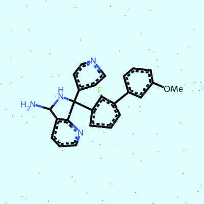 COc1cccc(-c2cccc(C3(c4ccncc4)NC(N)c4cccnc43)c2F)c1